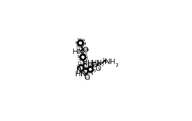 NCCNC(=O)Oc1ccc2c(=O)[nH]c3nccc(Nc4ccc(NC(=O)c5ccccc5)cc4)c3c2c1